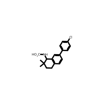 CC1(C)CCc2ccc(-c3ccc(Cl)cc3)cc2C1NC(=O)O